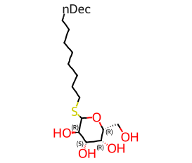 CCCCCCCCCCCCCCCCCCSC1O[C@H](CO)[C@H](O)[C@H](O)[C@H]1O